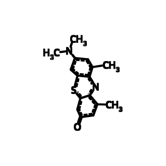 Cc1cc(=O)cc2sc3cc(N(C)C)cc(C)c3nc1-2